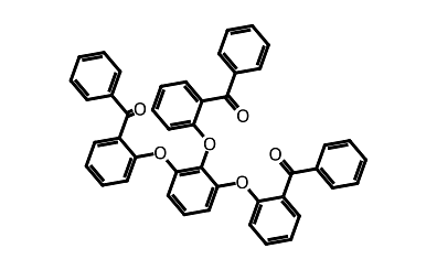 O=C(c1ccccc1)c1ccccc1Oc1cccc(Oc2ccccc2C(=O)c2ccccc2)c1Oc1ccccc1C(=O)c1ccccc1